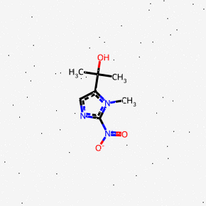 Cn1c(C(C)(C)O)cnc1[N+](=O)[O-]